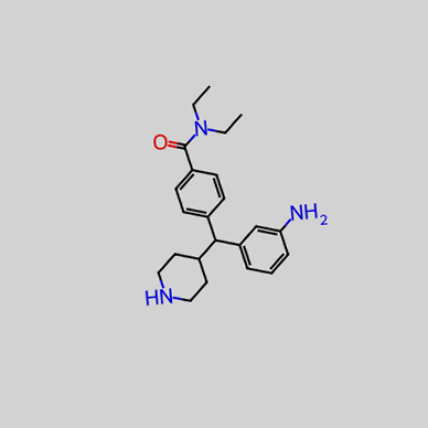 CCN(CC)C(=O)c1ccc(C(c2cccc(N)c2)C2CCNCC2)cc1